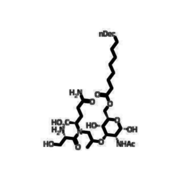 CCCCCCCCCCCCCCCCCC(=O)OC[C@H]1O[C@H](O)[C@H](NC(C)=O)[C@@H](OC(C)CN(C(=O)[C@@H](N)CO)[C@H](CCC(N)=O)C(=O)O)[C@@H]1O